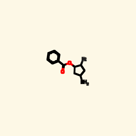 BC1CC(CC)C(OC(=O)c2ccccc2)C1